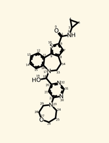 O=C(NC1CC1)c1cc2c(s1)-c1ccccc1N(C(O)c1cc(N3CCCOCC3)ncn1)CC2